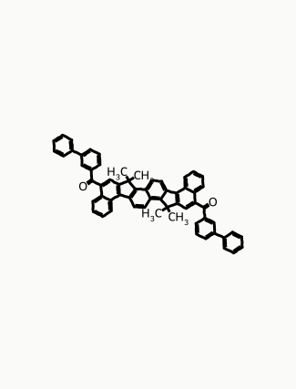 CC1(C)c2cc(C(=O)c3cccc(-c4ccccc4)c3)c3ccccc3c2-c2ccc3c4c(ccc3c21)-c1c(cc(C(=O)c2cccc(-c3ccccc3)c2)c2ccccc12)C4(C)C